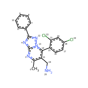 Cc1nc2nc(-c3ccccc3)nn2c(-c2ccc(Cl)cc2Cl)c1CN